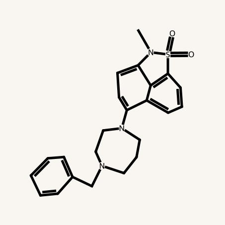 CN1c2ccc(N3CCCN(Cc4ccccc4)CC3)c3cccc(c23)S1(=O)=O